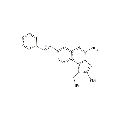 CCCCc1nc2c(N)nc3cc(/C=C/c4ccccc4)ccc3c2n1CC(C)C